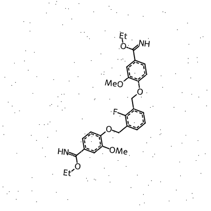 CCOC(=N)c1ccc(OCc2cccc(COc3ccc(C(=N)OCC)cc3OC)c2F)c(OC)c1